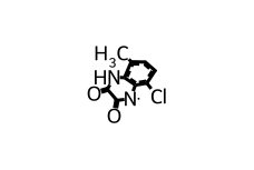 Cc1ccc(Cl)c2c1NC(=O)C(=O)[N]2